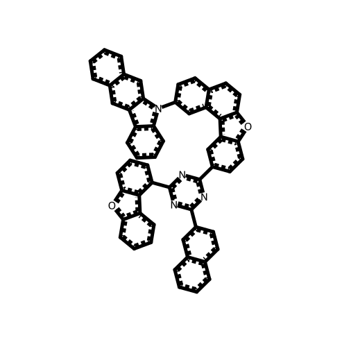 c1ccc2cc(-c3nc(-c4ccc5oc6ccc7ccc(-n8c9ccccc9c9cc%10ccccc%10cc98)cc7c6c5c4)nc(-c4cccc5oc6ccccc6c45)n3)ccc2c1